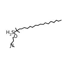 CCCCCCCCCCCCCCCCCC(C)(C)[SiH2]OCCCN(C)C